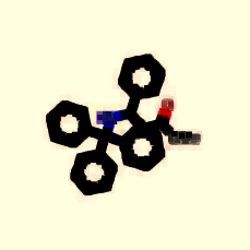 COC(=O)CC(NC(c1ccccc1)(c1ccccc1)c1ccccc1)c1ccccc1